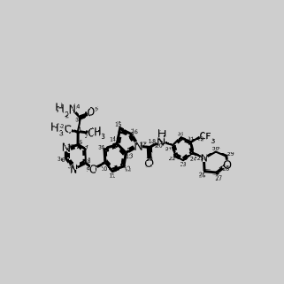 CC(C)(C(N)=O)c1cc(Oc2ccc3c(ccn3C(=O)Nc3ccc(N4CCOCC4)c(C(F)(F)F)c3)c2)ncn1